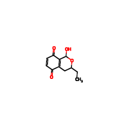 CCC1CC2=C(C(=O)C=CC2=O)C(O)O1